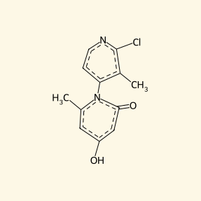 Cc1c(-n2c(C)cc(O)cc2=O)ccnc1Cl